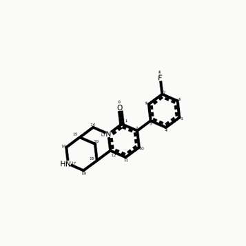 O=c1c(-c2cccc(F)c2)ccc2n1CC1CNCC2C1